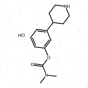 CN(C)C(=O)Oc1cccc(C2CCNCC2)c1.Cl